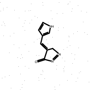 O=C1N=NCC1=Cc1cc[nH]c1